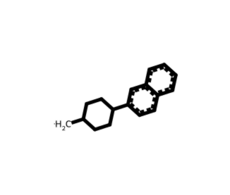 [CH2]C1CCC(c2ccc3ccccc3c2)CC1